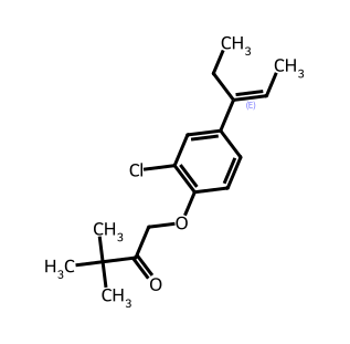 C/C=C(\CC)c1ccc(OCC(=O)C(C)(C)C)c(Cl)c1